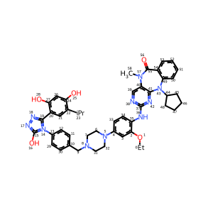 CCOc1cc(N2CCN(Cc3ccc(-n4c(O)nnc4-c4cc(C(C)C)c(O)cc4O)cc3)CC2)ccc1Nc1ncc2c(n1)N(C1CCCC1)c1ccccc1C(=O)N2C